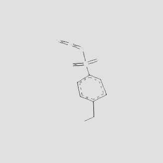 [N-]=[N+]=NS(=O)(=O)c1ccc(CS)cc1